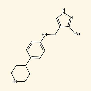 CC(C)(C)c1n[nH]cc1CNc1ccc(C2CCNCC2)cc1